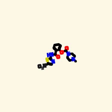 CN1CCN(C(=O)Oc2ccccc2C(=O)Nc2ncc([N+](=O)[O-])s2)CC1